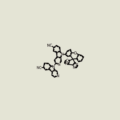 N#Cc1ccc2c(c1)c1cc(-n3c4ccc(C#N)cc4c4ccncc43)ncc1n2-c1ccc2c(c1)C1(c3ccccc3O2)c2cccnc2-c2ncccc21